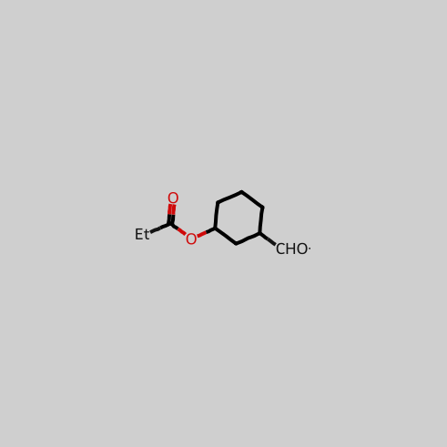 CCC(=O)OC1CCCC([C]=O)C1